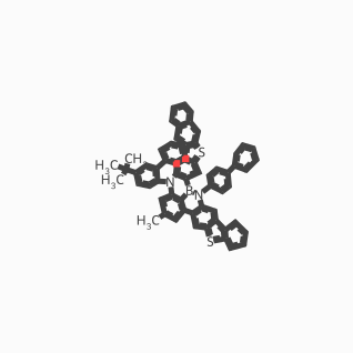 Cc1cc2c3c(c1)N(c1ccc(C(C)(C)C)cc1-c1ccccc1)c1cc4c(cc1B3N(c1ccc(-c3ccccc3)cc1)c1cc3c(cc1-2)sc1ccccc13)sc1cc2ccccc2cc14